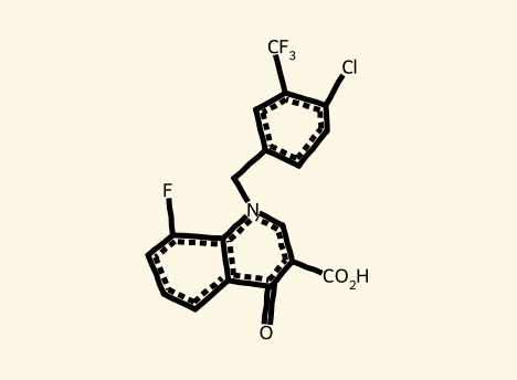 O=C(O)c1cn(Cc2ccc(Cl)c(C(F)(F)F)c2)c2c(F)cccc2c1=O